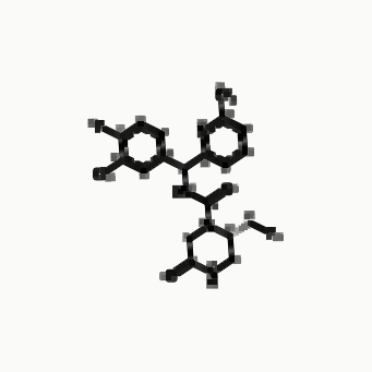 O=C1CN(C(=O)NC(c2ccc(F)c(Cl)c2)c2cccc(C(F)(F)F)n2)[C@H](CF)CN1